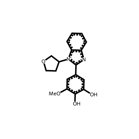 COc1cc(-c2nc3ccccc3n2C2CCOC2)cc(O)c1O